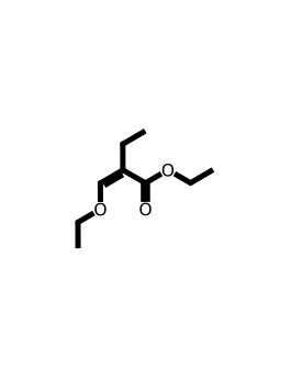 CCOC=C(CC)C(=O)OCC